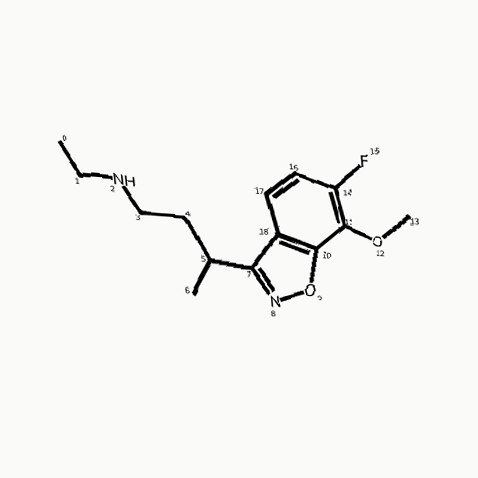 CCNCCC(C)c1noc2c(OC)c(F)ccc12